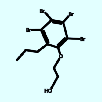 CCCc1c(Br)c(Br)c(Br)c(Br)c1OCCO